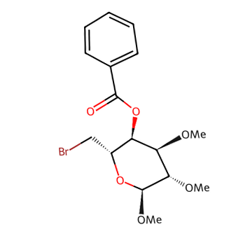 CO[C@H]1O[C@H](CBr)[C@@H](OC(=O)c2ccccc2)[C@@H](OC)[C@@H]1OC